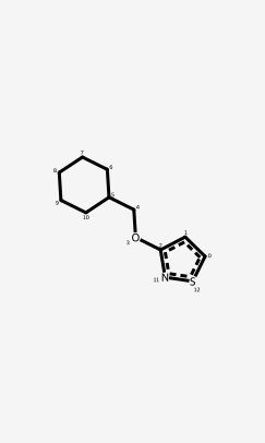 c1cc(OCC2CCCCC2)ns1